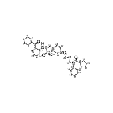 O=C(c1ccccc1)c1ccccc1N[C@@H](Cc1ccc(OCCCN(C(=O)C2CCCC2)c2ccccc2)cc1)C(=O)O